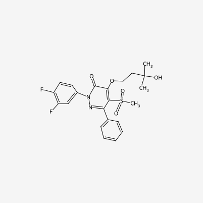 CC(C)(O)CCOc1c(S(C)(=O)=O)c(-c2ccccc2)nn(-c2ccc(F)c(F)c2)c1=O